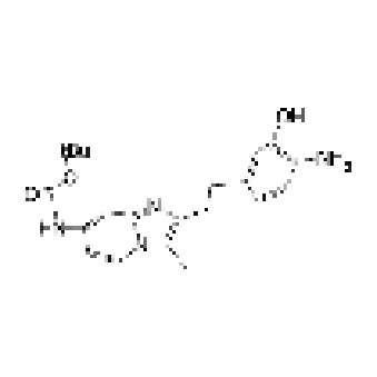 Cc1c(CCc2ccc(N)c(O)c2)nc2cc(NC(=O)OC(C)(C)C)ccn12